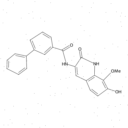 COc1c(O)ccc2cc(NC(=O)c3cccc(-c4ccccc4)c3)c(=O)[nH]c12